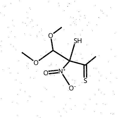 COC(OC)C(S)(C(C)=S)[N+](=O)[O-]